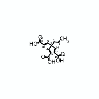 C=CCC(C=CC(=O)O)(C=CC(=O)O)C=CC(=O)O